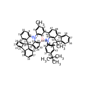 Cc1cc2c3c(c1)N1c4ccccc4C4(c5ccccc5-c5ccccc54)c4cccc(c41)B3N(c1ccc(C(C)(C)C)cc1)c1c-2ccc2c1C(C)(C)c1ccccc1-2